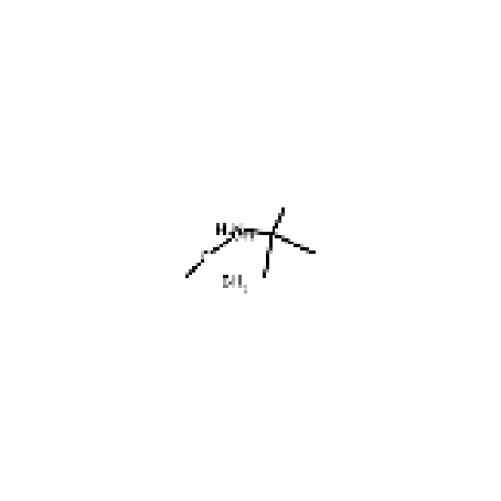 B.CC(C)(C)N.CCO